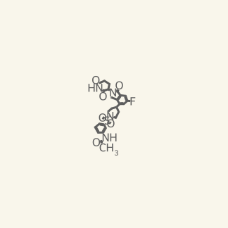 CC(=O)Nc1cccc(S(=O)(=O)N2CCC(c3cc(F)cc4c3CN(C3CCC(=O)NC3=O)C4=O)CC2)c1